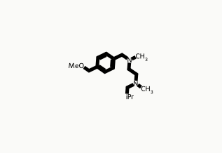 COCc1ccc(CN(C)CCN(C)CC(C)C)cc1